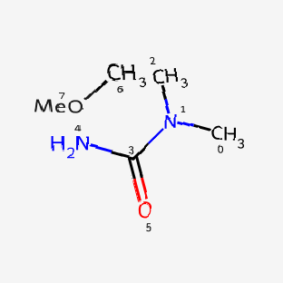 CN(C)C(N)=O.COC